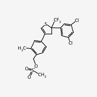 Cc1cc(C2=CSC(c3cc(Cl)cc(Cl)c3)(C(F)(F)F)C2)ccc1COS(C)(=O)=O